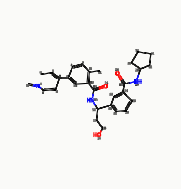 C=N/C=C\C(=C/C)c1ccc(C)c(C(=O)NC(CCO)c2cccc(C(=O)NC3CCCC3)c2)c1